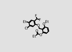 CCOc1cccc(OC(=O)CC)c1COc1cc(Cl)c(CC)cc1C(F)F